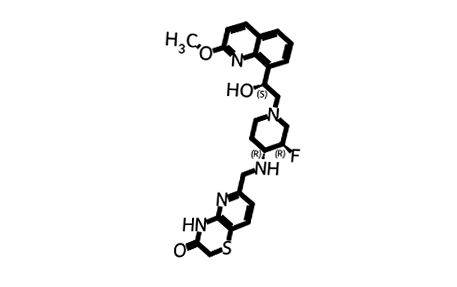 COc1ccc2cccc([C@H](O)CN3CC[C@@H](NCc4ccc5c(n4)NC(=O)CS5)[C@H](F)C3)c2n1